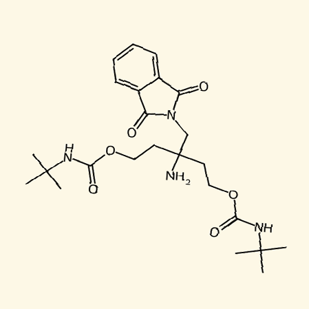 CC(C)(C)NC(=O)OCCC(N)(CCOC(=O)NC(C)(C)C)CN1C(=O)c2ccccc2C1=O